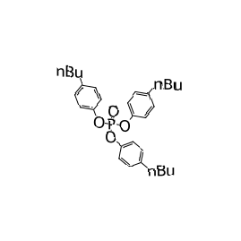 CCCCc1ccc(OP(=O)(Oc2ccc(CCCC)cc2)Oc2ccc(CCCC)cc2)cc1